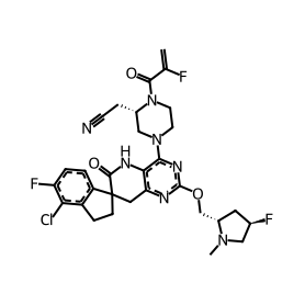 C=C(F)C(=O)N1CCN(c2nc(OC[C@@H]3C[C@@H](F)CN3C)nc3c2NC(=O)C2(CCc4c2ccc(F)c4Cl)C3)C[C@@H]1CC#N